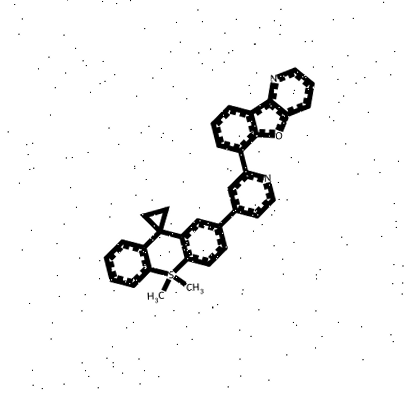 CS1(C)c2ccccc2C2(CC2)c2cc(-c3ccnc(-c4cccc5c4oc4cccnc45)c3)ccc21